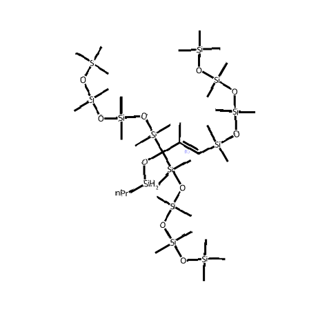 CCC[SiH2]OC(/C(C)=C/[Si](C)(C)O[Si](C)(C)O[Si](C)(C)O[Si](C)(C)C)([Si](C)(C)O[Si](C)(C)O[Si](C)(C)O[Si](C)(C)C)[Si](C)(C)O[Si](C)(C)O[Si](C)(C)O[Si](C)(C)C